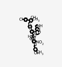 CC1(C)CCC(CN2CCN(c3ccc(C(=O)NS(=O)(=O)c4ccc(OCC5CCC(C)(O)CC5)c([N+](=O)[O-])c4)c(N4CCCOc5nc6[nH]ccc6cc54)c3)CC2)=C(c2ccc(Cl)cc2)C1